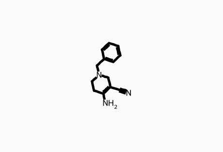 N#CC1=C(N)CCN(Cc2ccccc2)C1